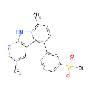 CCS(=O)(=O)c1cccc(-c2ccc(C)c3[nH]c4ncc(C(F)(F)F)cc4c23)c1